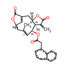 C=C1C(=O)O[C@H]2CC3=C[C@@H](C/C(C)=C/[C@H](OC(=O)Cc4cccc5ccccc45)[C@H]12)OC3=O